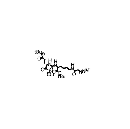 CC(C)(C)OC(=O)CC[C@H](NC(=O)NC(CCCCNC(=O)CN=[N+]=[N-])C(=O)OC(C)(C)C)C(=O)OC(C)(C)C